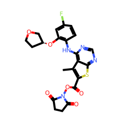 Cc1c(C(=O)ON2C(=O)CCC2=O)sc2ncnc(Nc3ccc(F)cc3O[C@@H]3CCOC3)c12